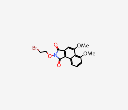 COc1cccc2c3c(cc(OC)c12)C(=O)N(OCCBr)C3=O